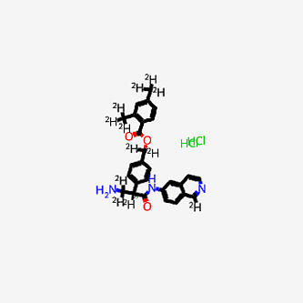 Cl.Cl.[2H]c1nccc2cc(NC(=O)[C@@]([2H])(c3ccc(C([2H])([2H])OC(=O)c4ccc(C([2H])([2H])[2H])cc4C([2H])([2H])[2H])cc3)C([2H])([2H])N)ccc12